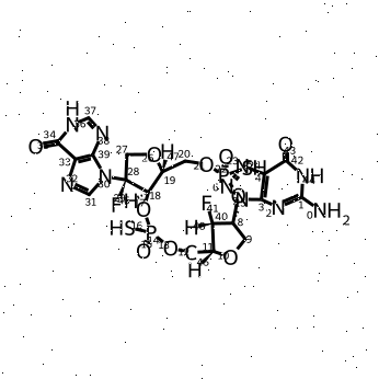 Nc1nc2c(nnn2[C@@]23CO[C@H](COP(=O)(S)O[C@@H]4[C@@H](COP(=O)(S)O2)OC[C@@]4(F)n2cnc4c(=O)[nH]cnc42)[C@@H]3F)c(=O)[nH]1